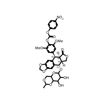 COc1cc([C@@H]2c3cc4c(cc3[C@@H](OC3OC5COC(C)OC5C(O)C3O)[C@H]3COC(=O)[C@H]23)OCO4)cc(OC)c1OC(=O)Oc1ccc([N+](=O)[O-])cc1